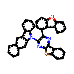 c1ccc2cc3c(cc2c1)c1ccccc1n3-c1nc2sc3ccccc3c2nc1-c1cccc2oc3ccccc3c12